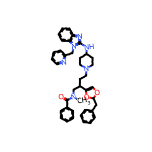 CN(CC(CCN1CCC(Nc2nc3ccccc3n2Cc2ccccn2)CC1)C1=COC(Cc2ccccc2)O1)C(=O)c1ccccc1